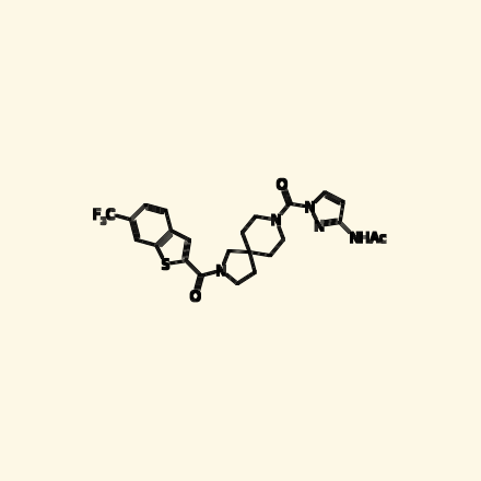 CC(=O)Nc1ccn(C(=O)N2CCC3(CCN(C(=O)c4cc5ccc(C(F)(F)F)cc5s4)C3)CC2)n1